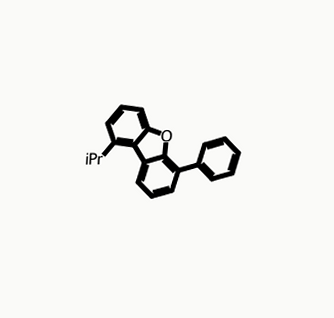 CC(C)c1cccc2oc3c(-c4ccccc4)cccc3c12